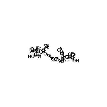 C=CC(=O)N1CCN(c2nc(O[C@H](C)CN3CCC(OCCOCCOc4cc(-c5scnc5C)ccc4CNC(=O)[C@@H]4C[C@@H](O)CN4C(=O)[C@@H](c4cc(C)no4)C(C)C)CC3)nc3c(F)c(-c4cc(O)cc5ccccc45)c(Cl)cc23)CC1